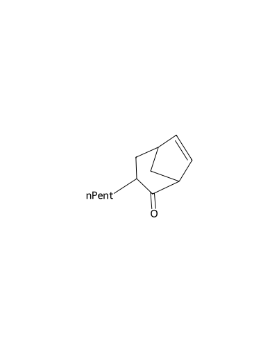 CCCCCC1CC2C=CC(C2)C1=O